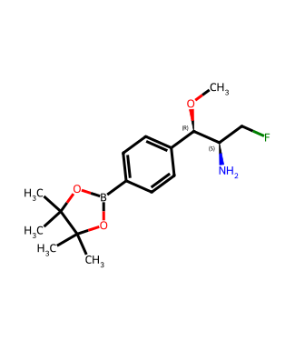 CO[C@H](c1ccc(B2OC(C)(C)C(C)(C)O2)cc1)[C@H](N)CF